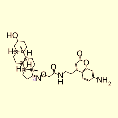 C[C@]12CCC(O)C[C@@H]1CC[C@@H]1[C@@H]2CC[C@]2(C)/C(=N\OCC(=O)NCCc3cc(=O)oc4cc(N)ccc34)CC[C@@H]12